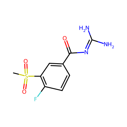 CS(=O)(=O)c1cc(C(=O)N=C(N)N)ccc1F